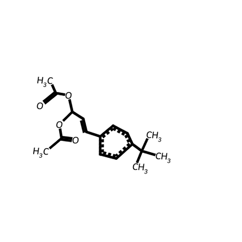 CC(=O)OC(C=Cc1ccc(C(C)(C)C)cc1)OC(C)=O